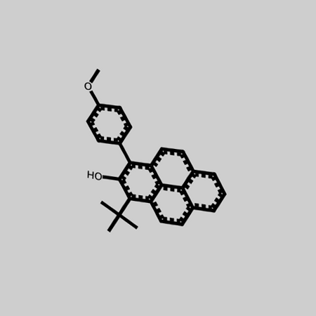 COc1ccc(-c2c(O)c(C(C)(C)C)c3ccc4cccc5ccc2c3c54)cc1